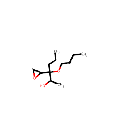 CCCCOC(CCC)(C(C)O)C1CO1